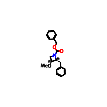 CO[C@@H]1CN(C(=O)OCc2ccccc2)[C@@H]1Cc1ccccc1